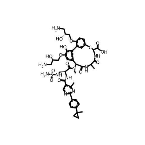 Cc1nc(-c2ccc(C3(C)CC3)cc2)ncc1C(=O)N[C@@H](CNS(N)(=O)=O)C(=O)N(C)C1C(=O)NC(C)C(=O)NC(C(=O)O)Cc2ccc(OC[C@H](O)CN)c(c2)-c2cc1cc(OC[C@H](O)CN)c2O